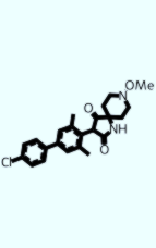 CON1CCC2(CC1)NC(=O)C(c1c(C)cc(-c3ccc(Cl)cc3)cc1C)C2=O